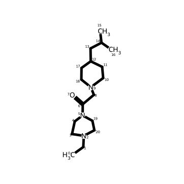 CCN1CCN(C(=O)CN2CCC(CC(C)C)CC2)CC1